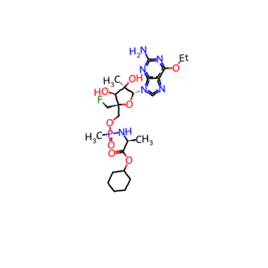 CCOc1nc(N)nc2c1ncn2[C@@H]1O[C@](CF)(COP(C)(=O)N[C@@H](C)C(=O)OC2CCCCC2)[C@@H](O)[C@@]1(C)O